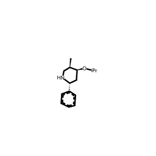 CC(C)O[C@H]1C[C@H](c2ccccc2)NC[C@H]1C